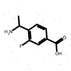 CC(N)c1ccc(C(=O)O)cc1F